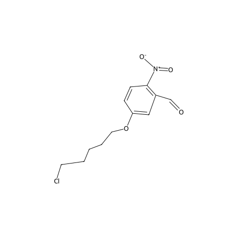 O=Cc1cc(OCCCCCCl)ccc1[N+](=O)[O-]